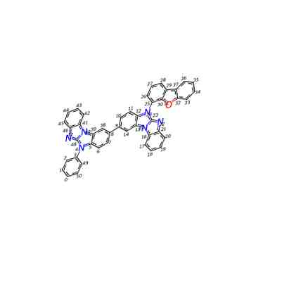 c1ccc(-n2c3ccc(-c4ccc5c(c4)n4c6ccccc6nc4n5-c4cccc5c4oc4ccccc45)cc3n3c4ccccc4nc23)cc1